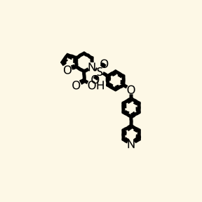 O=C(O)C1c2occc2CCN1S(=O)(=O)c1ccc(Oc2ccc(-c3ccncc3)cc2)cc1